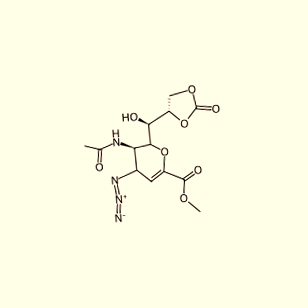 COC(=O)C1=CC(N=[N+]=[N-])[C@@H](NC(C)=O)C([C@@H](O)[C@@H]2COC(=O)O2)O1